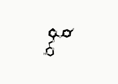 Fc1ccc(Oc2ncccc2OC[C@@H]2CNCCO2)cc1